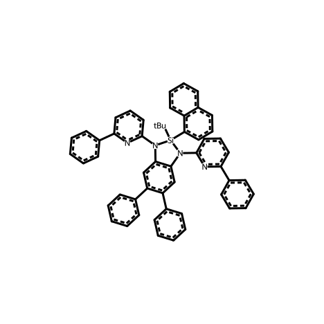 CC(C)(C)[Si]1(c2cccc3ccccc23)N(c2cccc(-c3ccccc3)n2)c2cc(-c3ccccc3)c(-c3ccccc3)cc2N1c1cccc(-c2ccccc2)n1